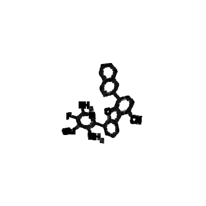 Bc1nc(-c2cccc3c2oc2c(-c4ccc5ccccc5c4)ccc(C#N)c23)c(B)c(C(C)(C)C)c1F